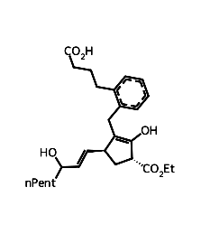 CCCCCC(O)C=C[C@@H]1C[C@@H](C(=O)OCC)C(O)=C1Cc1ccccc1CCCC(=O)O